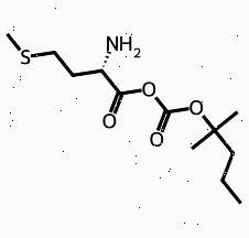 CCCC(C)(C)OC(=O)OC(=O)[C@@H](N)CCSC